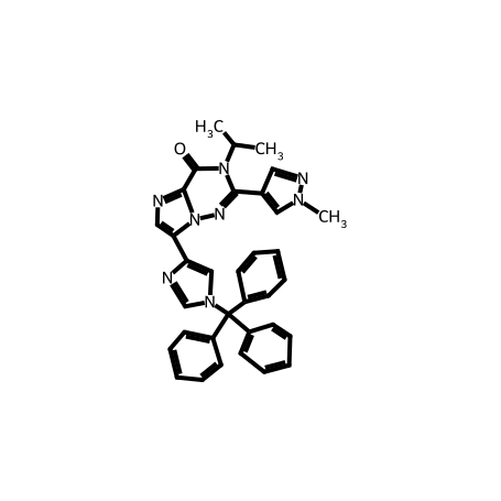 CC(C)n1c(-c2cnn(C)c2)nn2c(-c3cn(C(c4ccccc4)(c4ccccc4)c4ccccc4)cn3)cnc2c1=O